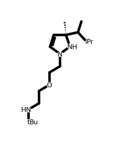 CC(C)C(C)[C@]1(C)C=CN(CCOCCNC(C)(C)C)N1